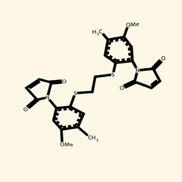 COc1cc(N2C(=O)C=CC2=O)c(SCCSc2cc(C)c(OC)cc2N2C(=O)C=CC2=O)cc1C